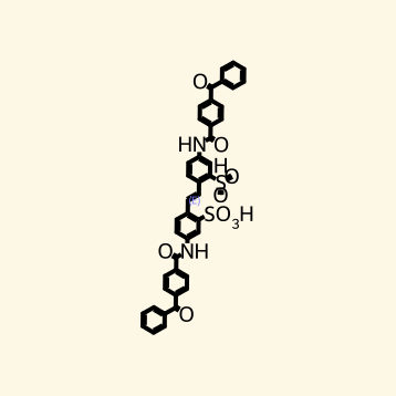 O=C(Nc1ccc(/C=C/c2ccc(NC(=O)c3ccc(C(=O)c4ccccc4)cc3)cc2S(=O)(=O)O)c([SH](=O)=O)c1)c1ccc(C(=O)c2ccccc2)cc1